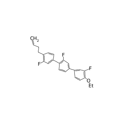 C=CCCc1ccc(-c2ccc(-c3ccc(OCC)c(F)c3)cc2F)cc1F